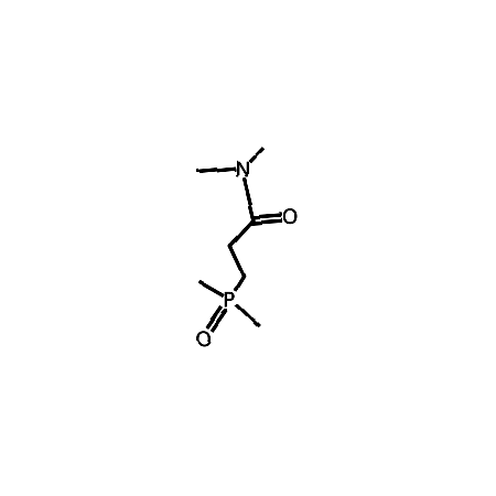 CN(C)C(=O)CCP(C)(C)=O